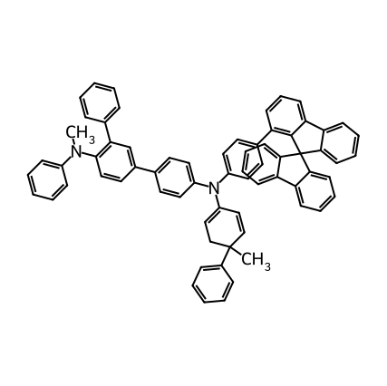 CN(c1ccccc1)c1ccc(-c2ccc(N(C3=CCC(C)(c4ccccc4)C=C3)c3ccc(-c4cccc5c4C4(c6ccccc6-c6ccccc64)c4ccccc4-5)cc3)cc2)cc1-c1ccccc1